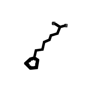 ClC(Cl)CCCCCCc1ccccc1